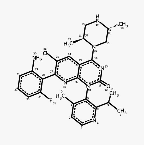 Cc1ccnc(C(C)C)c1-n1c(=O)nc(N2C[C@@H](C)NC[C@@H]2C)c2cc(Cl)c(-c3c(N)cccc3F)nc21